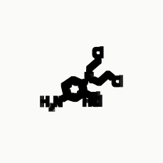 Cl.Nc1ccc(N(CCCl)CCCl)c(Cl)c1